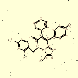 Cc1nc(C(F)(F)F)ccc1Cn1c(=O)c(-c2ccncc2)c(-c2ccc(Cl)cc2)c2nnc(C(C)C)n21